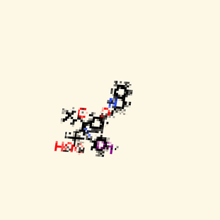 CC(C)(C)CC(=O)c1c(CC(C)(C)C(=O)O)n(Cc2ccc([125I])cc2)c2ccc(OCc3ccc4ccccc4n3)cc12